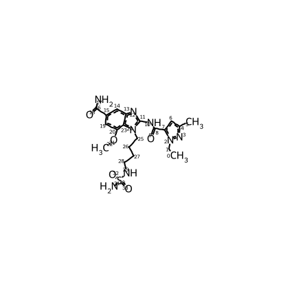 CCn1nc(C)cc1C(=O)Nc1nc2cc(C(N)=O)cc(OC)c2n1CCCCNS(N)(=O)=O